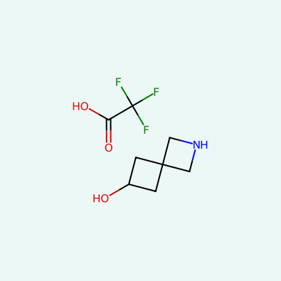 O=C(O)C(F)(F)F.OC1CC2(CNC2)C1